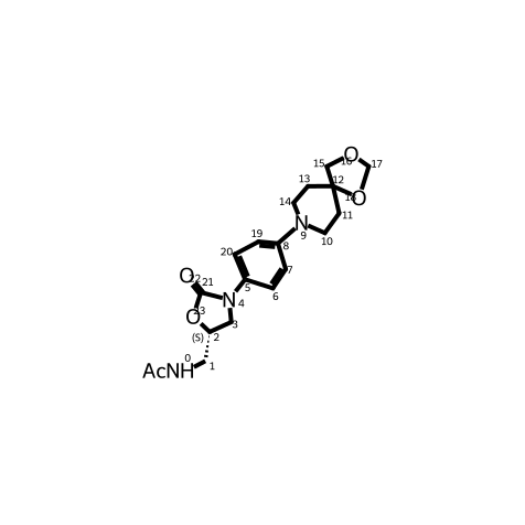 CC(=O)NC[C@H]1CN(c2ccc(N3CCC4(CC3)COCO4)cc2)C(=O)O1